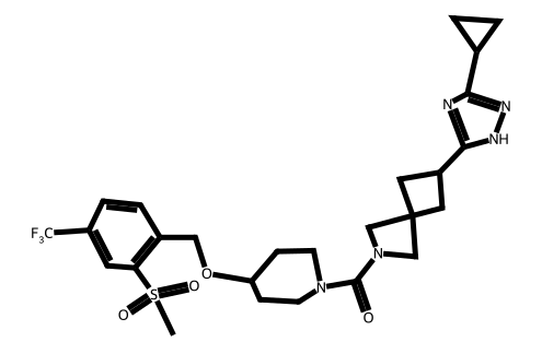 CS(=O)(=O)c1cc(C(F)(F)F)ccc1COC1CCN(C(=O)N2CC3(CC(c4nc(C5CC5)n[nH]4)C3)C2)CC1